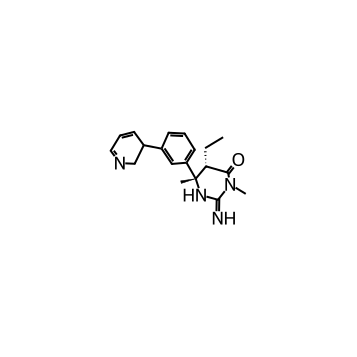 CC[C@@H]1C(=O)N(C)C(=N)N[C@]1(C)c1cccc(C2C=CC=NC2)c1